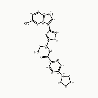 O=C(N[C@@H](CO)c1nc(-c2c[nH]c3ccc(Cl)cc23)no1)c1ccc(N2CCCC2)cc1